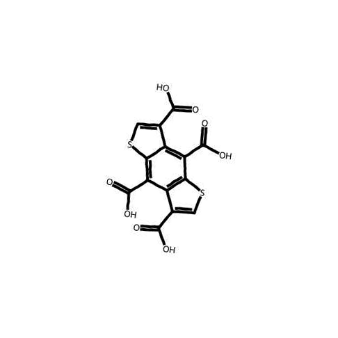 O=C(O)c1csc2c(C(=O)O)c3c(C(=O)O)csc3c(C(=O)O)c12